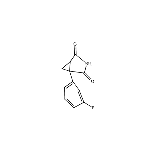 O=C1NC(=O)C2(c3cccc(F)c3)CC12